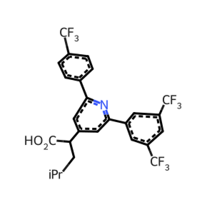 CC(C)CC(C(=O)O)c1cc(-c2ccc(C(F)(F)F)cc2)nc(-c2cc(C(F)(F)F)cc(C(F)(F)F)c2)c1